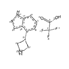 O=C(O)C(F)(F)F.c1cc(C2CNC2)c2cn[nH]c2c1